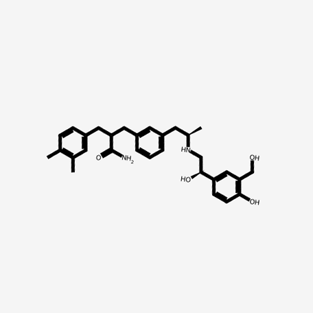 Cc1ccc(CC(Cc2cccc(C[C@@H](C)NC[C@H](O)c3ccc(O)c(CO)c3)c2)C(N)=O)cc1C